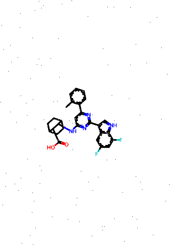 Cc1ccccc1-c1cc(NC2C3CCC(CC3)C2C(=O)O)nc(-c2c[nH]c3c(F)cc(F)cc23)n1